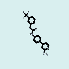 Cc1cc(-c2ccc(NC(=O)Cc3cccc(C(F)(F)F)c3)cc2)ccn1